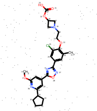 COc1cc(-c2nc(-c3cc(C)c(OCCN4CC(OC(=O)O)C4)c(Cl)c3)no2)cc(C2CCCC2)n1